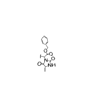 O=C(OCc1ccccc1)C(I)N1C(=O)NC(I)C1=O